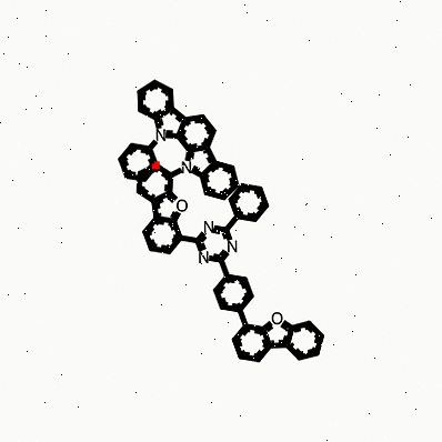 c1ccc(-c2nc(-c3ccc(-c4cccc5c4oc4ccccc45)cc3)nc(-c3cccc4c3oc3c(-n5c6ccccc6c6ccc7c8ccccc8n(-c8ccccc8)c7c65)cccc34)n2)cc1